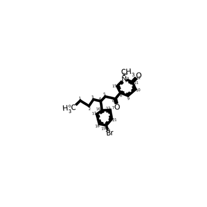 CCCCC(CC(=O)c1ccc(=O)n(C)c1)c1ccc(Br)cc1